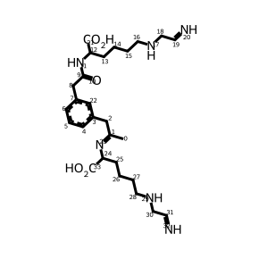 CC(Cc1cccc(CC(=O)NC(CCCCNCC=N)C(=O)O)c1)=NC(CCCCNCC=N)C(=O)O